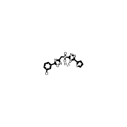 Cn1c(-c2cccs2)nnc1S(=O)(=O)Cc1noc(-c2cccc(Cl)c2)n1